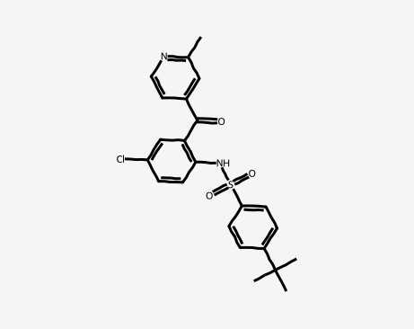 Cc1cc(C(=O)c2cc(Cl)ccc2NS(=O)(=O)c2ccc(C(C)(C)C)cc2)ccn1